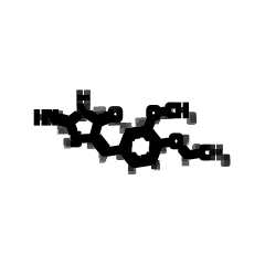 CCOc1ccc(C=C2SC(=N)NC2=O)cc1OC